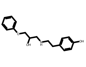 Oc1ccc(CCNCC(O)COc2ccccc2)cc1